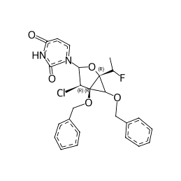 CC(F)[C@]12OC(n3ccc(=O)[nH]c3=O)[C@H](Cl)[C@@]1(OCc1ccccc1)C2OCc1ccccc1